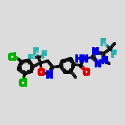 Cc1cc(C2=NOC(c3cc(Cl)cc(Cl)c3)(C(F)(F)F)C2)ccc1C(=O)Nc1nc(C(C)(F)F)n(C)n1